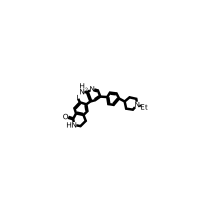 CCN1CCC(c2ccc(-c3cnc(N)c(-c4cc5c(cc4I)C(=O)NCC5)c3)cc2)CC1